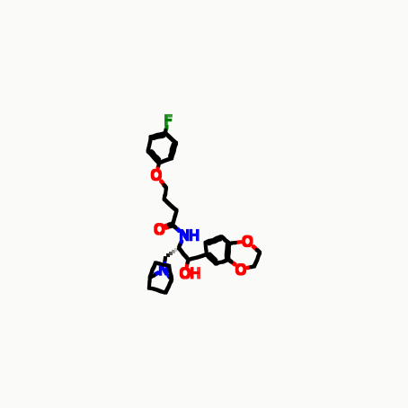 O=C(CCCOc1ccc(F)cc1)N[C@@H](CN1C2CCC1CC2)C(O)c1ccc2c(c1)OCCO2